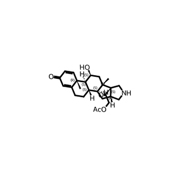 CC(=O)OCC(=O)[C@@]12CNC[C@@H]1C[C@H]1[C@@H]3CCC4=CC(=O)C=C[C@]4(C)[C@H]3[C@@H](O)C[C@@]12C